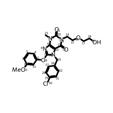 COc1cccc(Oc2nc3c(c(=O)n(CCOCCO)c(=O)n3C)n2Cc2ccc(Cl)cc2)c1